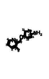 Cc1cccnc1COc1ccc(N)nc1